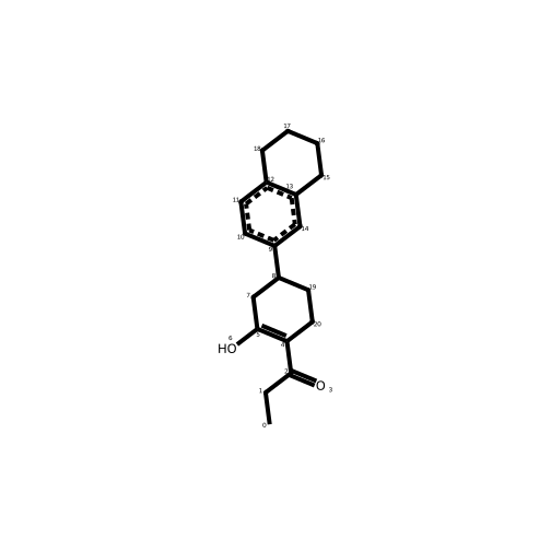 CCC(=O)C1=C(O)CC(c2ccc3c(c2)CCCC3)CC1